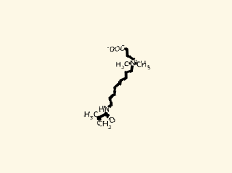 C=C(C)C(=O)NCCCCCCCCC[N+](C)(C)CCCC(=O)[O-]